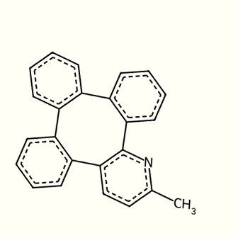 Cc1ccc2c(n1)-c1ccccc1-c1ccccc1-c1ccccc1-2